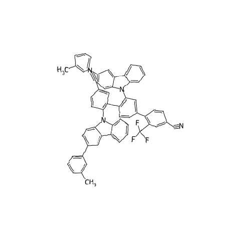 Cc1cccc(-c2ccc3c(c2)c2ccccc2n3-c2ccc(C#N)cc2-c2ccc(-c3ccc(C#N)cc3C(F)(F)F)cc2-n2c3ccccc3c3cc(-c4cccc(C)c4)ccc32)c1